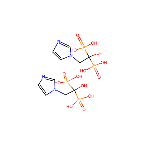 O=P(O)(O)C(O)(Cn1ccnc1)P(=O)(O)O.O=P(O)(O)C(O)(Cn1ccnc1)P(=O)(O)O